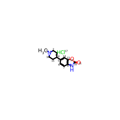 CN1CCC(c2ccc3[nH]c(=O)oc3c2)CC1.Cl